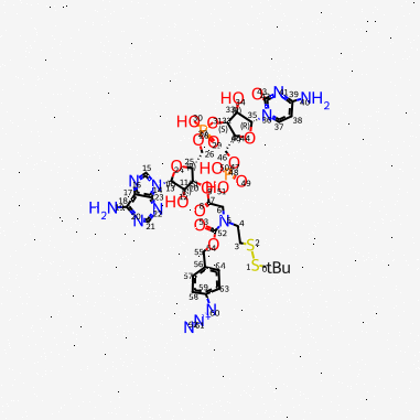 CC(C)(C)SSCCN(CC(=O)O[C@H]1[C@@H](O)[C@H](n2cnc3c(N)ncnc32)O[C@@H]1COP(=O)(O)O[C@H]1[C@@H](O)[C@H](n2ccc(N)nc2=O)O[C@@H]1COP(=O)(O)O)C(=O)OCc1ccc(N=[N+]=[N-])cc1